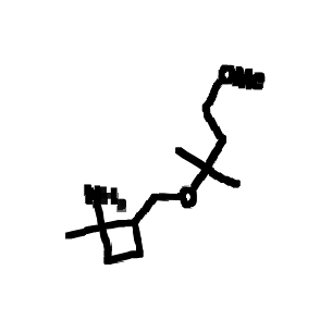 COCCC(C)(C)OCC1CCC1(C)N